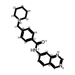 O=C(Nc1ccc2cncnc2c1)c1ccc(CN2CCCCC2)cc1